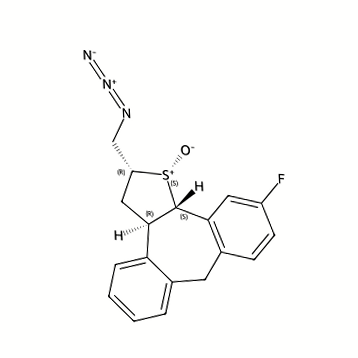 [N-]=[N+]=NC[C@H]1C[C@@H]2c3ccccc3Cc3ccc(F)cc3[C@H]2[S@@+]1[O-]